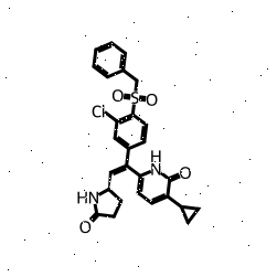 O=C1CC[C@H](/C=C(/c2ccc(S(=O)(=O)Cc3ccccc3)c(Cl)c2)c2ccc(C3CC3)c(=O)[nH]2)N1